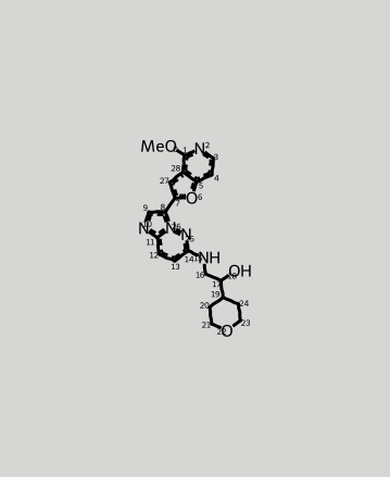 COc1nccc2oc(-c3cnc4ccc(NCC(O)C5CCOCC5)nn34)cc12